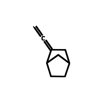 [CH]=C=C1CC2CCC1C2